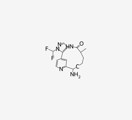 CC1CCCC(N)c2cc(ccn2)-c2c(cnn2C(F)F)NC1=O